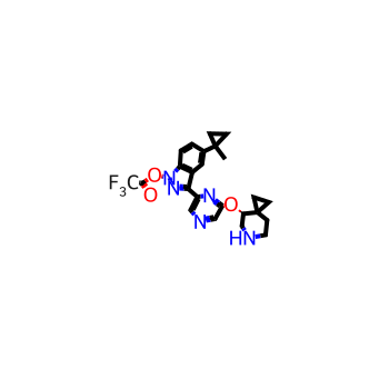 CC1(c2ccc3c(c2)c(-c2cncc(O[C@H]4CNCCC45CC5)n2)nn3OC(=O)C(F)(F)F)CC1